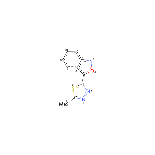 CSc1nnc(-c2onc3ccccc23)s1